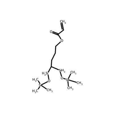 C=CC(=O)OCCCC([SiH2]O[Si](C)(C)C)[SiH2]O[Si](C)(C)C